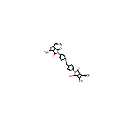 C#CC1C(C)C2C1C(=O)N(C1=CCC(CCC3C=CC(N4C(=O)C5C(C)CC(C=C)C5C4=O)=CC3)C=C1)C2O